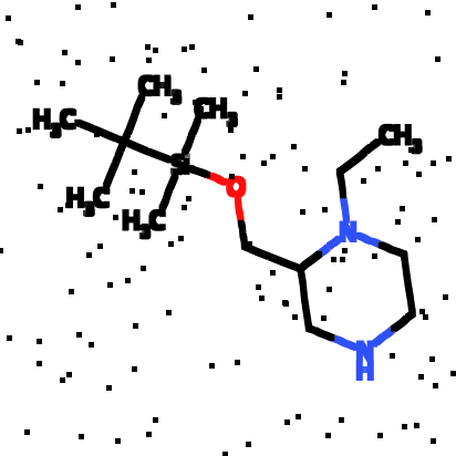 CCN1CCNCC1CO[Si](C)(C)C(C)(C)C